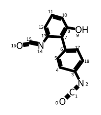 O=C=Nc1ccc(-c2c(O)cccc2N=C=O)cc1